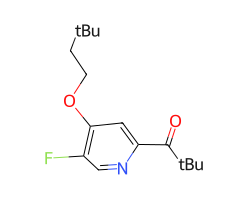 CC(C)(C)CCOc1cc(C(=O)C(C)(C)C)ncc1F